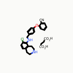 N#Cc1ccccc1Oc1ccc(CNc2c(Cl)ccc3c2CCNCC3)cc1.O=C(O)CCC(=O)O